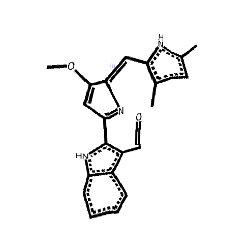 COC1=CC(c2[nH]c3ccccc3c2C=O)=N/C1=C\c1[nH]c(C)cc1C